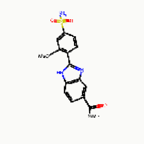 CNC(=O)c1ccc2[nH]c(-c3ccc(S(N)(=O)=O)cc3OC)nc2c1